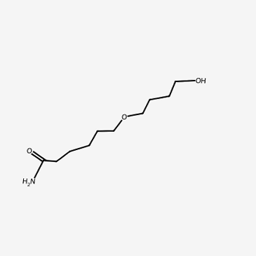 NC(=O)CCCCCOCCCCO